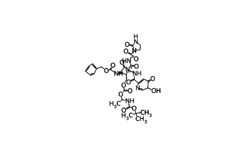 CC(NC(=O)OC(C)(C)C)OC(=O)OCC1[C@H](NC(=O)OCc2ccccc2)C(=O)[N@+]1(NC(=O)C1=CC(=O)C(O)C=N1)C(=O)NS(=O)(=O)N1CCNC1=O